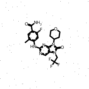 Cc1cc(C(N)=O)c(F)cc1Nc1ncc2c(n1)n(C1CCOCC1)c(=O)n2CC(F)(F)F